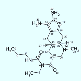 CCCNC(=O)N(CC)C(=O)[C@@H]1C[C@@H]2Cc3c(sc(N)c3N)C[C@H]2N(C)C1